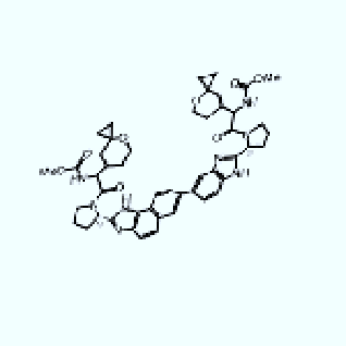 COC(=O)NC(C(=O)N1CCC[C@H]1c1nc2cc(-c3ccc4c(ccc5nc([C@@H]6CCCN6C(=O)C(NC(=O)OC)C6CCOC7(CC7)C6)[nH]c54)c3)ccc2[nH]1)C1CCOC2(CC2)C1